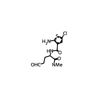 CNC(=O)C(CCC=O)NC(=O)c1cc(Cl)sc1N